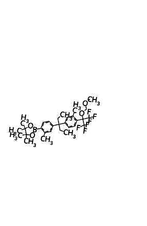 CCC(CC)(c1ccc(B2OC(C)(C)C(C)(C)O2)c(C)c1)c1ccc(C(OCOC)(C(F)(F)F)C(F)(F)F)c(C)c1